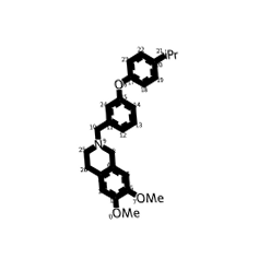 COc1cc2c(cc1OC)CN(Cc1cccc(Oc3ccc(C(C)C)cc3)c1)CC2